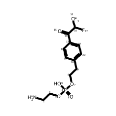 NCCOP(=O)(O)OCCc1ccc(C(=O)C(F)C(F)(F)F)cc1